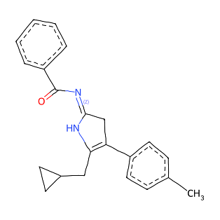 Cc1ccc(C2=C(CC3CC3)N/C(=N\C(=O)c3ccccc3)C2)cc1